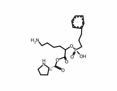 NCCCCC(OP(=O)(O)CCCc1ccccc1)C(=O)OC(=O)[C@@H]1CCCN1